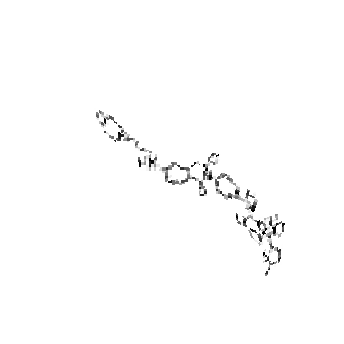 Cc1ccc(S(=O)(=O)NC(=O)Nc2ccc(N3C(=O)Cc4cc(NCCCN5CCOCC5)ccc4C3=O)cc2)s1